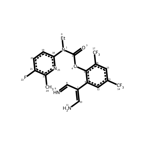 CCN(C(=O)Oc1c(/C(C=N)=C/N)cc(C(F)(F)F)cc1C(F)(F)F)c1ccc(F)c(C)n1